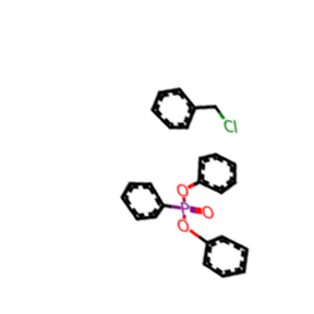 ClCc1ccccc1.O=P(Oc1ccccc1)(Oc1ccccc1)c1ccccc1